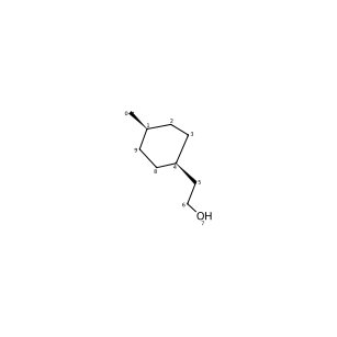 [CH2][C@H]1CC[C@@H](CCO)CC1